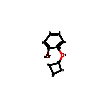 Brc1ccccc1OC1CCC1